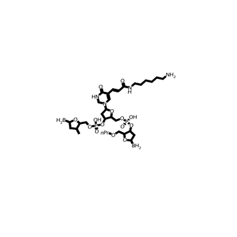 BC1CC(C)C(COP(=O)(O)OC2CC(N3C=C(/C=C/C(=O)NCCCCCCN)C(=O)NC3)OC2COP(=O)(O)OC2CC(B)OC2COCCC)O1